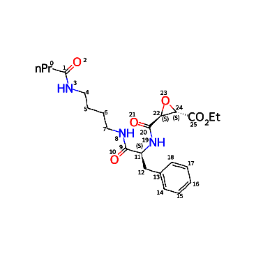 CCCC(=O)NCCCCNC(=O)[C@H](Cc1ccccc1)NC(=O)[C@H]1O[C@@H]1C(=O)OCC